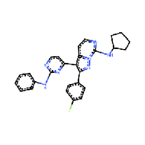 Fc1ccc(-c2nn3c(NC4CCCC4)nccc3c2-c2ccnc(Nc3ccccc3)n2)cc1